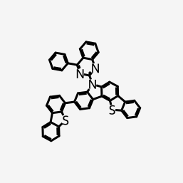 c1ccc(-c2nc(-n3c4cc(-c5cccc6c5sc5ccccc56)ccc4c4c5sc6ccccc6c5ccc43)nc3ccccc23)cc1